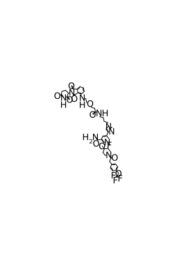 NC(=O)c1cc(-c2cn(CCCCNC(=O)CCOCCNc3cccc4c3C(=O)N(C3CCC(=O)NC3=O)C4=O)cn2)cnc1O[C@@H]1CCN(C(=O)Cc2ccc(OC(F)(F)F)cc2)C[C@H]1F